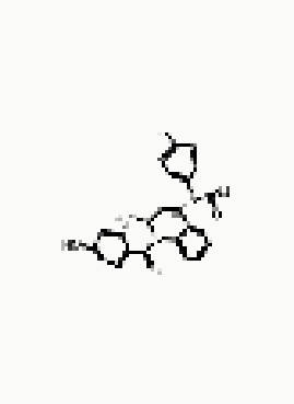 CCC(=O)N(c1ccc(Cl)cc1)[C@H]1CC(C)N(C(=O)c2ccc(O)cc2)c2ccccc21